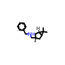 CC1(C)C2C[C@](C)(CNCc3ccccc3)C[C@@H]21